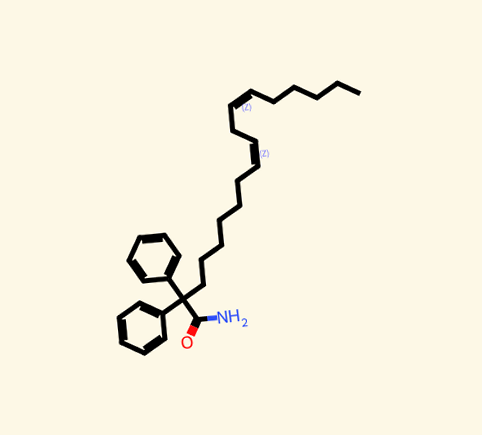 CCCCC/C=C\C/C=C\CCCCCCC(C(N)=O)(c1ccccc1)c1ccccc1